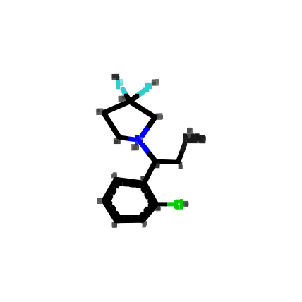 CNCC(c1ccccc1Cl)N1CCC(F)(F)C1